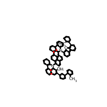 Cc1ccccc1-c1cccc(-c2cccc(N(c3ccccc3-c3ccccc3)c3ccc4ccc5c(N(c6ccccc6-c6ccccc6)c6cccc7c6oc6c(-c8ccccc8C)cccc67)ccc6ccc3c4c65)c2O)c1